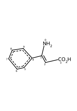 NC(=CC(=O)O)c1ccccc1